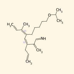 C=CC/C(=C/C(CCCCCOC(C)C)=C(/C)C=C)C(=C)C=N